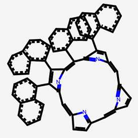 C1=CC2=NC1=CC1=NC(=C(c3cccc4ccccc34)C3=NC(=CC4=NC(=C2)C=C4)C=C3c2cccc3ccccc23)C(c2cccc3ccccc23)=C1c1cccc2ccccc12